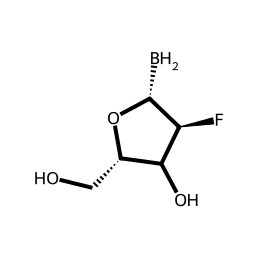 B[C@H]1O[C@@H](CO)C(O)[C@@H]1F